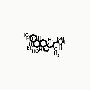 CC[C@H]1[C@@H](O)C2[C@@H]3CC[C@H]([C@H](C)Cc4nnn[nH]4)C3(C)CC[C@@H]2C2(C)CC[C@@H](O)C[C@@H]12